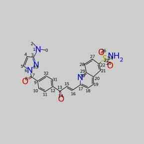 CN(C)c1ccn(C(=O)c2ccc(C(=O)C=Cc3ccc4cc(S(N)(=O)=O)ccc4n3)cc2)n1